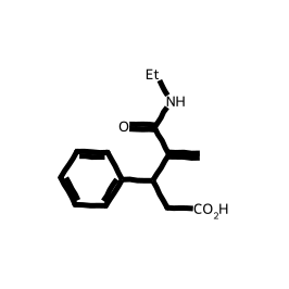 C=C(C(=O)NCC)C(CC(=O)O)c1ccccc1